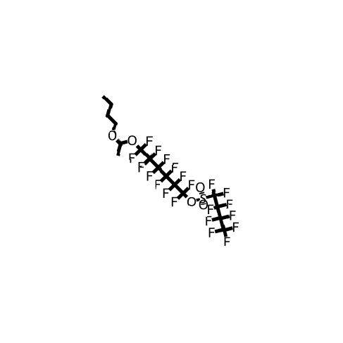 CCCCOC(C)OC(F)(F)C(F)(F)C(F)(F)C(F)(F)C(F)(F)C(F)(F)OS(=O)(=O)C(F)(F)C(F)(F)C(F)(F)C(F)(F)F